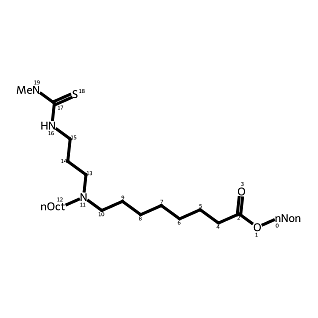 CCCCCCCCCOC(=O)CCCCCCCN(CCCCCCCC)CCCNC(=S)NC